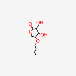 CCCCOC(C=O)C(O)C(C=O)CO